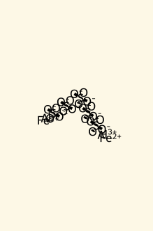 O=S(=O)([O-])[O-].O=S(=O)([O-])[O-].O=S(=O)([O-])[O-].O=S(=O)([O-])[O-].O=S(=O)([O-])[O-].[Al+3].[Al+3].[Fe+2].[Fe+2]